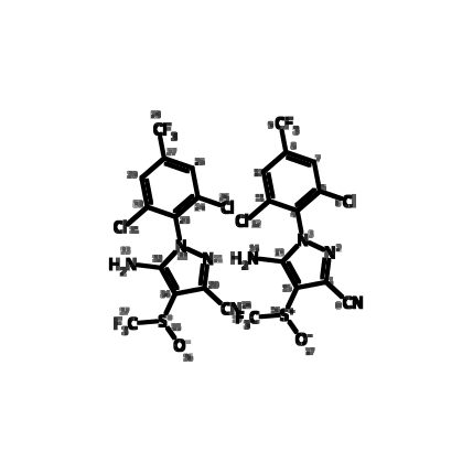 N#Cc1nn(-c2c(Cl)cc(C(F)(F)F)cc2Cl)c(N)c1[S+]([O-])C(F)(F)F.N#Cc1nn(-c2c(Cl)cc(C(F)(F)F)cc2Cl)c(N)c1[S+]([O-])C(F)(F)F